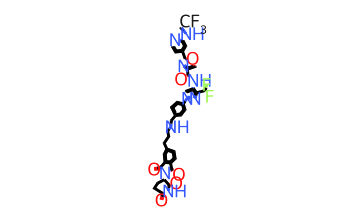 O=C1CCC(N2C(=O)c3ccc(CCCNCc4ccc(-n5cc(NC(=O)c6coc(-c7ccnc(NCC(F)(F)F)c7)n6)c(C(F)F)n5)cc4)cc3C2=O)C(=O)N1